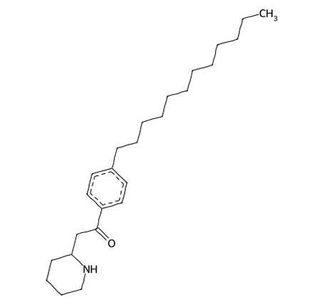 CCCCCCCCCCCCc1ccc(C(=O)CC2CCCCN2)cc1